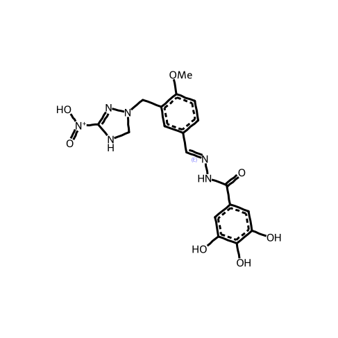 COc1ccc(/C=N/NC(=O)c2cc(O)c(O)c(O)c2)cc1CN1CNC([N+](=O)O)=N1